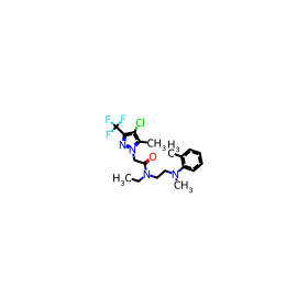 CCN(CCN(C)c1ccccc1C)C(=O)Cn1nc(C(F)(F)F)c(Cl)c1C